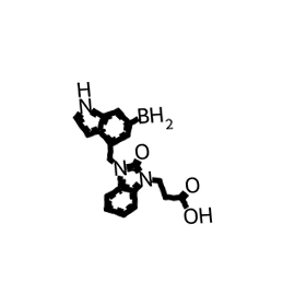 Bc1cc(Cn2c(=O)n(CCC(=O)O)c3ccccc32)c2cc[nH]c2c1